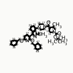 C[C@H]1CN(C(=O)OC(C)(C)C)CC[C@H]1C(=O)N1CCN(c2cccc3c(-c4ccc(OCc5ccccc5)nc4OCc4ccccc4)nn(C)c23)CC1